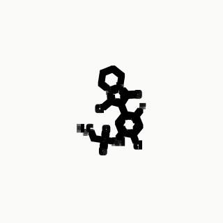 CCS(=O)(=O)Nc1cc(-c2c(Cl)n3n(c2=O)CCCC3)c(F)cc1Cl